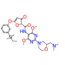 CC[Si](C)(C)c1cccc(OC2=CC(=O)C(C(=O)Nc3c(OC)nc(N4CCOC(CN(C)C)C4)nc3OC)O2)c1